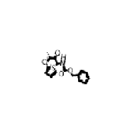 C[C@@H](Cl)C(=O)C(NC(=O)OCc1ccccc1)[SH]1C=CC=C1